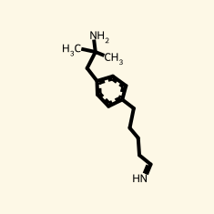 CC(C)(N)Cc1ccc(CCCCC=N)cc1